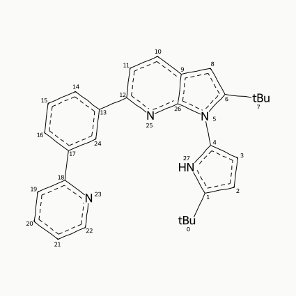 CC(C)(C)c1ccc(-n2c(C(C)(C)C)cc3ccc(-c4cccc(-c5ccccn5)c4)nc32)[nH]1